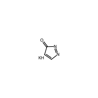 O=C1C=CN=N1.[KH]